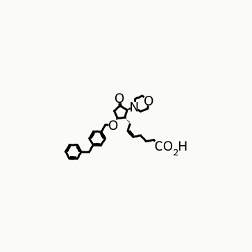 O=C(O)CCC/C=C\C[C@H]1[C@H](N2CCOCC2)C(=O)C[C@H]1OCc1ccc(Cc2ccccc2)cc1